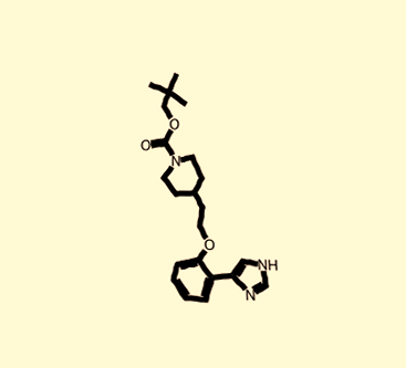 CC(C)(C)COC(=O)N1CCC(CCOc2ccccc2-c2c[nH]cn2)CC1